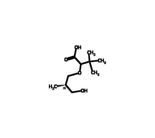 C[C@@H](CO)COC(C(=O)O)C(C)(C)C